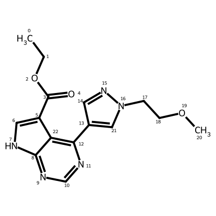 CCOC(=O)c1c[nH]c2ncnc(-c3cnn(CCOC)c3)c12